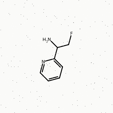 NC(CF)c1ccccn1